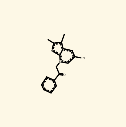 Cc1nc2n(CC(=O)c3ccccc3)cc(C#N)cc-2c1C